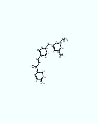 CCc1ccc(C(=O)/C=C/c2ccc(Cc3cc(N)cc(N)c3)cc2)cc1